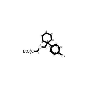 CCOC(=O)COCC1(c2ccc(F)cc2)CCCCC1